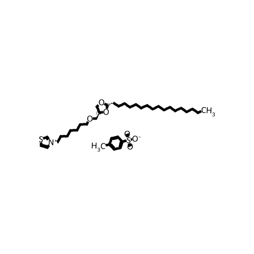 CCCCCCCCCCCCCCCCC[C@H]1OC[C@H](COCCCCCCC[n+]2ccsc2)O1.Cc1ccc(S(=O)(=O)[O-])cc1